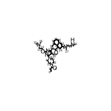 C=CC(=O)N1CCN(c2nc(OCCN(C)C)nc3c2COC(c2cc(N(C)CCNC)cc4cccc(C)c24)C3)CC1